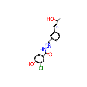 CC(O)/C=C/c1cccc(/C=N/NC(=O)c2ccc(O)c(Cl)c2)c1